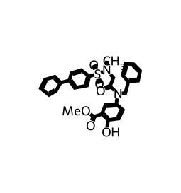 COC(=O)c1cc(N(Cc2ccccc2)C(=O)CN(C)S(=O)(=O)c2ccc(-c3ccccc3)cc2)ccc1O